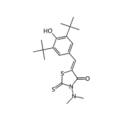 CN(C)N1C(=O)C(=Cc2cc(C(C)(C)C)c(O)c(C(C)(C)C)c2)SC1=S